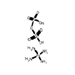 O=S(=O)(O)OS(=O)(=O)O.[NH2][Pd]([NH2])([NH2])[NH2]